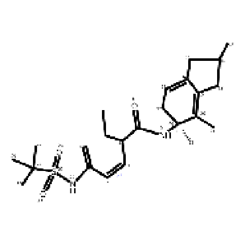 C=C(/C=C\C(CC)C(=O)N[C@@]1(C)CC=C2CC(C)CC2=C1C)NS(=O)(=O)C(C)(C)C